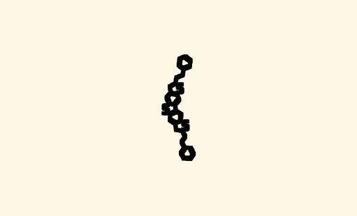 c1ccc(CCC2Cc3cc4sc5cc6c(cc5c4cc3S2)SC(CCc2ccccc2)C6)cc1